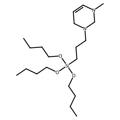 CCCCO[Si](CCCN1CC=CN(C)C1)(OCCCC)OCCCC